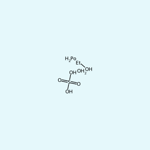 CCO.O.O=S(=O)(O)O.[PoH2]